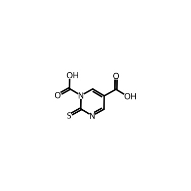 O=C(O)c1cnc(=S)n(C(=O)O)c1